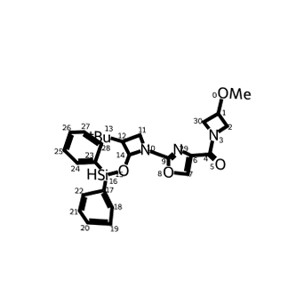 COC1CN(C(=O)c2coc(N3CC(C(C)(C)C)C3O[SiH](c3ccccc3)c3ccccc3)n2)C1